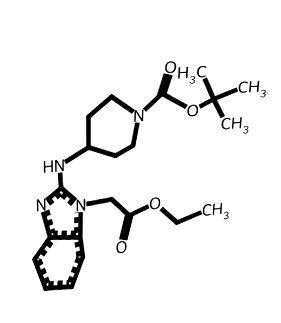 CCOC(=O)Cn1c(NC2CCN(C(=O)OC(C)(C)C)CC2)nc2ccccc21